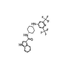 O=C(N[C@H]1CC[C@@H](Nc2cc(C(F)(F)F)nc(C(F)(F)F)c2)CC1)c1c[nH]c2ccccc12